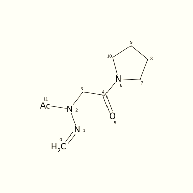 C=NN(CC(=O)N1CCCC1)C(C)=O